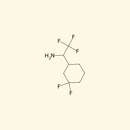 NC(C1CCCC(F)(F)C1)C(F)(F)F